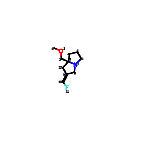 COC[C@@]12CCCN1C/C(=C\F)C2